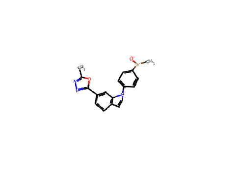 Cc1nnc(-c2ccc3ccn(-c4ccc([S+](C)[O-])cc4)c3c2)o1